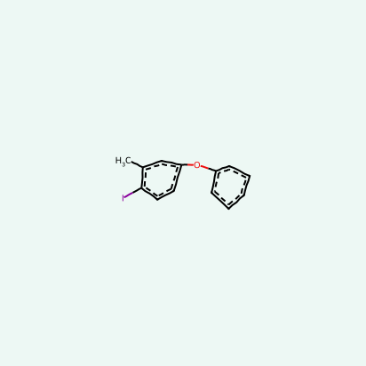 Cc1cc(Oc2ccccc2)ccc1I